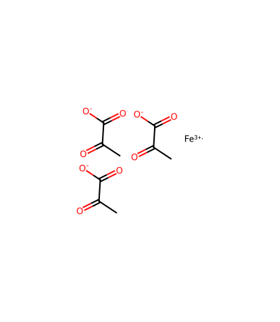 CC(=O)C(=O)[O-].CC(=O)C(=O)[O-].CC(=O)C(=O)[O-].[Fe+3]